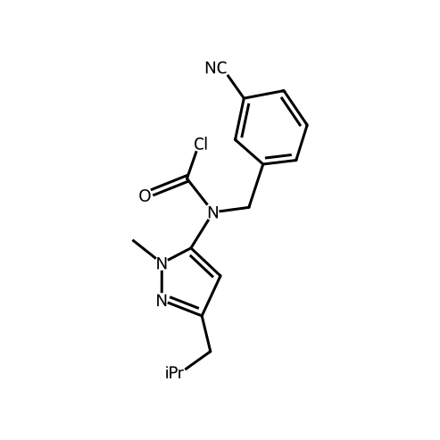 CC(C)Cc1cc(N(Cc2cccc(C#N)c2)C(=O)Cl)n(C)n1